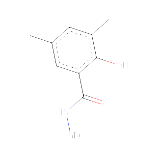 CCCCNC(=O)c1cc(C)cc(C)c1O